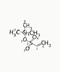 C=CS(=O)(=O)O[Si](C)(C)C